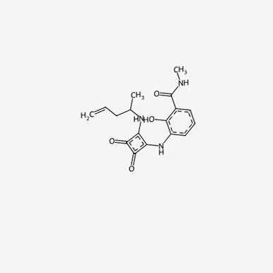 C=CCC(C)Nc1c(Nc2cccc(C(=O)NC)c2O)c(=O)c1=O